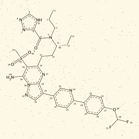 CCCN(C(=O)c1nnc[nH]1)[C@H](CC)CCc1nc2c(-c3ccc(-c4ccc(OC(F)F)cc4)nc3)cnn2c(N)c1S(C)(=O)=O